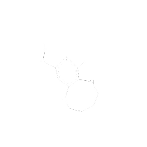 CCOc1cc(C)c2c(c1)OCCCCN2